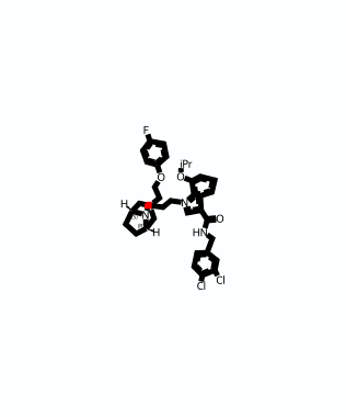 CC(C)Oc1cccc2c(C(=O)NCc3ccc(Cl)c(Cl)c3)cn(CCCN3[C@@H]4CC[C@H]3CN(CCOc3ccc(F)cc3)C4)c12